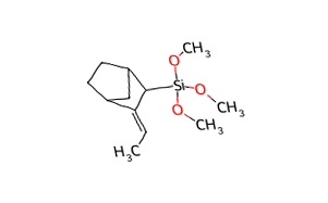 CC=C1C2CCC(C2)C1[Si](OC)(OC)OC